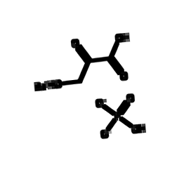 O=C(O)C(=O)CO.O=P([O-])([O-])O.[Ba+2]